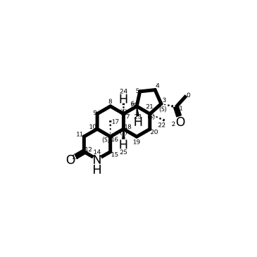 CC(=O)[C@H]1CC[C@H]2[C@@H]3CCC4CC(=O)NC[C@]4(C)[C@H]3CC[C@]12C